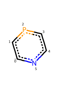 [c]1cpccn1